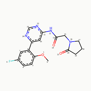 COc1ccc(F)cc1-c1cc(NC(=O)CN2CCCC2=O)ncn1